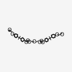 CC(C)(c1ccc(OCC2CO2)cc1)c1ccc(OOOCCOCCOOOc2ccc(C(C)(C)c3ccc(OCC4CO4)cc3)cc2)cc1